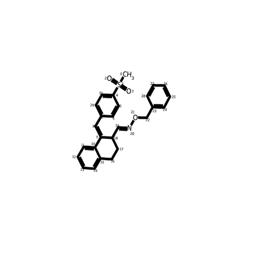 CS(=O)(=O)c1ccc(C=C2c3ccccc3CCC2C=NOCc2ccccc2)cc1